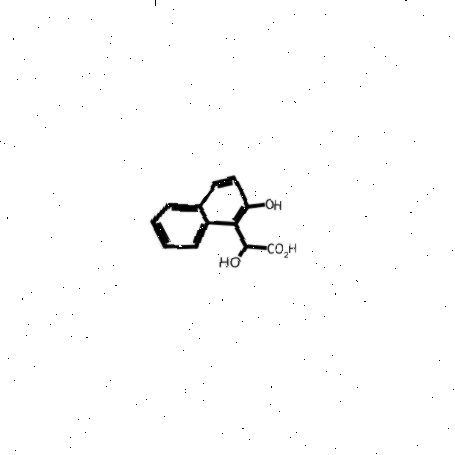 O=C(O)C(O)c1c(O)ccc2ccccc12